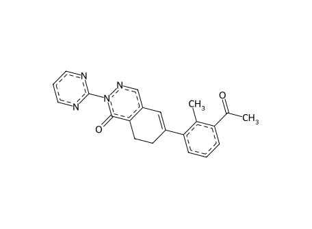 CC(=O)c1cccc(C2=Cc3cnn(-c4ncccn4)c(=O)c3CC2)c1C